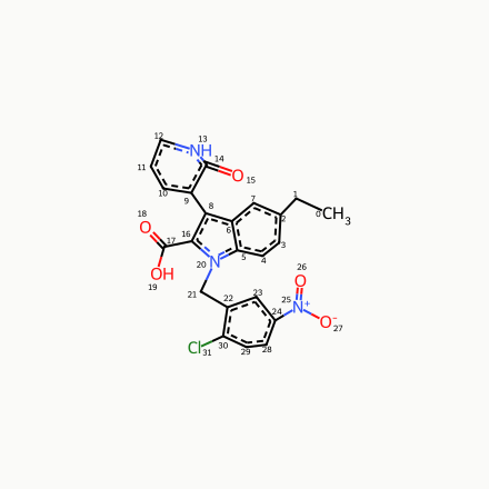 CCc1ccc2c(c1)c(-c1ccc[nH]c1=O)c(C(=O)O)n2Cc1cc([N+](=O)[O-])ccc1Cl